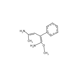 CO/C(N)=C(/C=C(\C)N)c1ccccc1